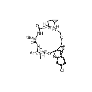 CC(=O)[C@@H]1[C@H](C)[C@@H]2CN1C(=O)[C@H](C(C)(C)C)NC(=O)O[C@@H]1CC3CC3[C@H]1CCCCC(F)(F)c1nc3ccc(Cl)cc3nc1O2